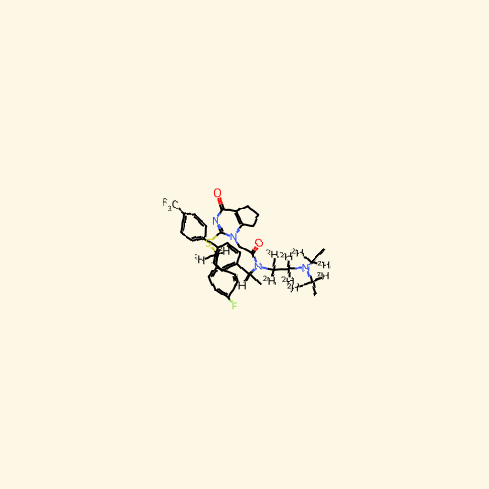 [2H]C([2H])(Sc1nc(=O)c2c(n1CC(=O)N(C([2H])(C)c1ccc(-c3ccc(C(F)(F)F)cc3)cc1)C([2H])([2H])C([2H])([2H])N(C([2H])([2H])C)C([2H])([2H])C)CCC2)c1ccc(F)cc1